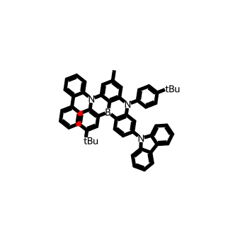 Cc1cc2c3c(c1)N(c1ccccc1-c1ccccc1)c1ccc(C(C)(C)C)cc1B3c1ccc(-n3c4ccccc4c4ccccc43)cc1N2c1ccc(C(C)(C)C)cc1